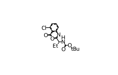 CC[C@H](NC(=O)OC(C)(C)C)c1nc2cccc(Cl)c2c(=O)o1